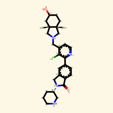 O=C1c2ccc(-c3nccc(CN4C[C@H]5CCC(O)C[C@H]5C4)c3F)cc2CN1[C@H]1CCCNC1